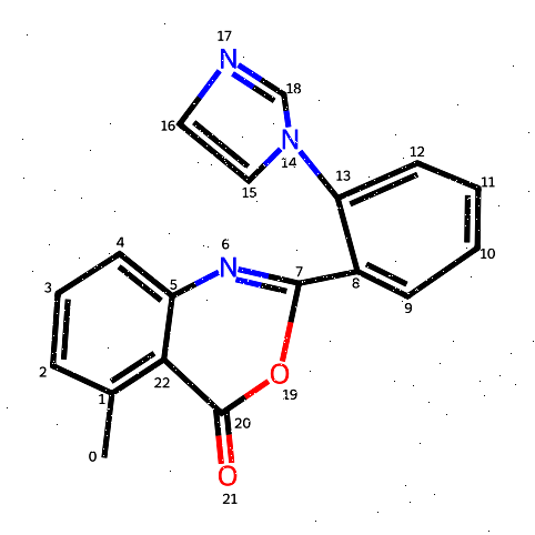 Cc1cccc2nc(-c3ccccc3-n3ccnc3)oc(=O)c12